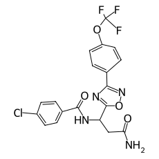 NC(=O)CC(NC(=O)c1ccc(Cl)cc1)c1nc(-c2ccc(OC(F)(F)F)cc2)no1